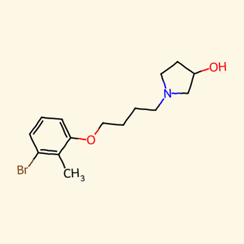 Cc1c(Br)cccc1OCCCCN1CCC(O)C1